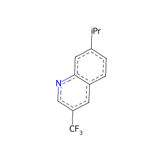 CC(C)c1ccc2cc(C(F)(F)F)cnc2c1